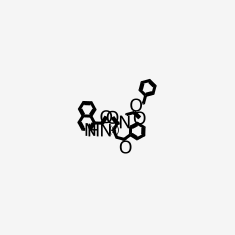 O=C(CN1C(=O)[C@@H](NC(=O)c2nccc3ccccc23)CC(=O)c2ccccc21)OCc1ccccc1